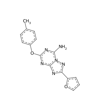 Cc1ccc(Oc2nc(N)n3nc(-c4ccco4)nc3n2)cc1